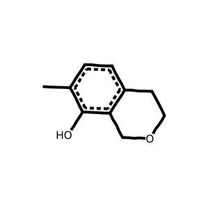 Cc1ccc2c(c1O)COCC2